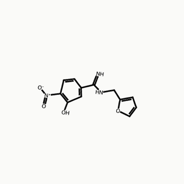 N=C(NCc1ccco1)c1ccc([N+](=O)[O-])c(O)c1